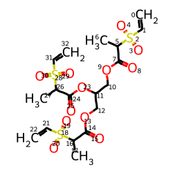 C=CS(=O)(=O)C(C)C(=O)OCC(COC(=O)C(C)S(=O)(=O)C=C)OC(=O)C(C)S(=O)(=O)C=C